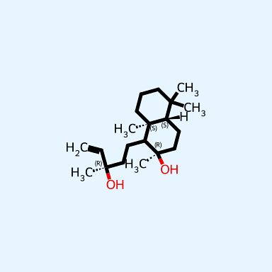 C=C[C@](C)(O)CCC1[C@](C)(O)CC[C@H]2C(C)(C)CCC[C@]12C